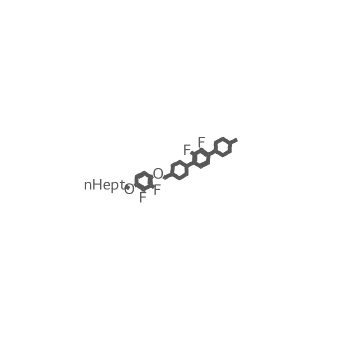 CCCCCCCOc1ccc(OCC2CCC(c3ccc(C4CCC(C)CC4)c(F)c3F)CC2)c(F)c1F